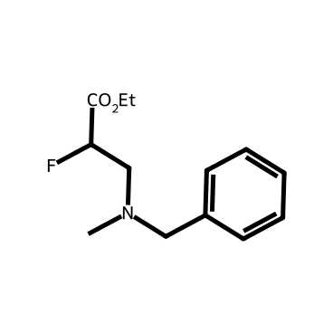 CCOC(=O)C(F)CN(C)Cc1ccccc1